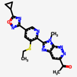 CCSc1cc(-c2noc(C3CC3)n2)cnc1-c1nc2cc(C(C)=O)nnc2n1C